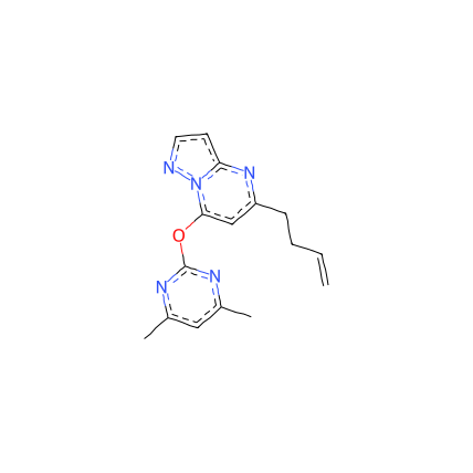 C=CCCc1cc(Oc2nc(C)cc(C)n2)n2nccc2n1